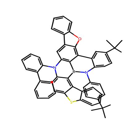 CC(C)(C)c1ccc(N2B3c4c(cc5c(oc6ccccc65)c4-c4cc(C(C)(C)C)ccc42)N(c2ccccc2-c2ccccc2)c2ccc4sc5ccccc5c4c23)cc1